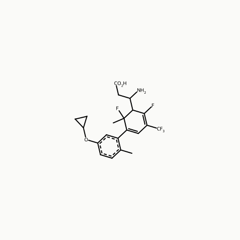 Cc1ccc(OC2CC2)cc1C1=CC(C(F)(F)F)=C(F)C(C(N)CC(=O)O)C1(C)F